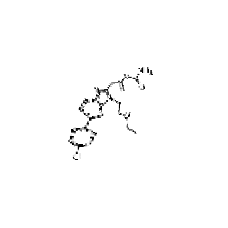 CCOCCn1c(CNOC(N)=O)nc2ccc(-c3ccc(Cl)cc3)cc21